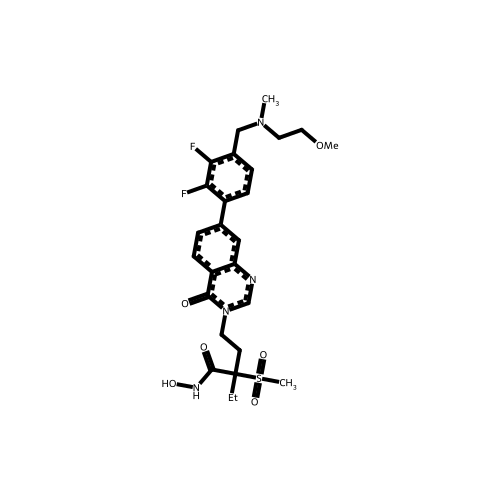 CCC(CCn1cnc2cc(-c3ccc(CN(C)CCOC)c(F)c3F)ccc2c1=O)(C(=O)NO)S(C)(=O)=O